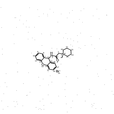 C[N+]1(CC(=O)NC2c3ccccc3Oc3ccccc32)CCCCC1.[Br-]